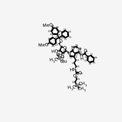 COc1ccc(C(OC[C@H]2O[C@@H](n3cc(CCCNC(=O)OCC[Si](C)(C)C)c4c(NC(=O)c5ccccc5)ncnc43)[C@H](O[Si](C)(C)C(C)(C)C)[C@@H]2O)(c2ccccc2)c2ccc(OC)cc2)cc1